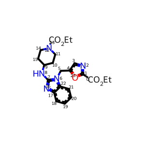 CCOC(=O)c1ncc(Cn2c(NC3CCN(C(=O)OCC)CC3)nc3ccccc32)o1